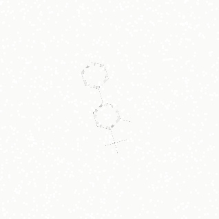 FC(F)(F)c1ccc(-c2ccncc2)nc1Cl